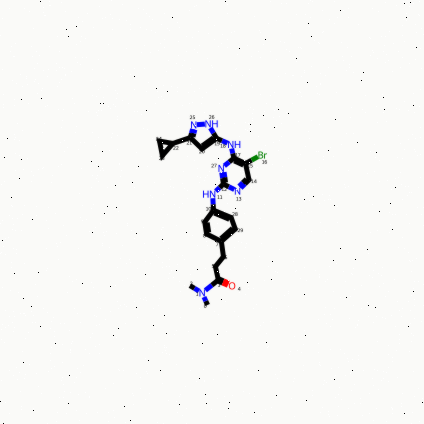 CN(C)C(=O)CCc1ccc(Nc2ncc(Br)c(Nc3cc(C4CC4)n[nH]3)n2)cc1